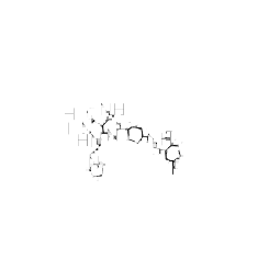 CC(=N)c1c(N)nc(-c2ccc(NSc3cc(F)ccc3F)cc2)nc1NCCN1CCCC1